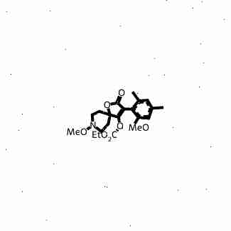 CCOC(=O)OC1=C(c2c(C)cc(C)cc2OC)C(=O)OC12CCN(OC)CC2